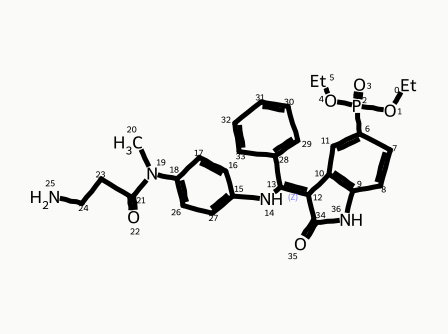 CCOP(=O)(OCC)c1ccc2c(c1)/C(=C(/Nc1ccc(N(C)C(=O)CCN)cc1)c1ccccc1)C(=O)N2